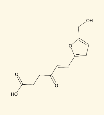 O=C(O)CCC(=O)/C=C/c1ccc(CO)o1